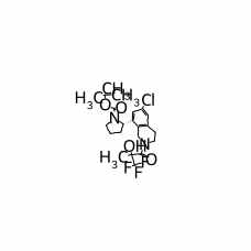 CC(C)(C)OC(=O)N1CCC[C@H]1c1cc(Cl)cc2c1CN(C(=O)C(C)(O)C(F)(F)F)CC2